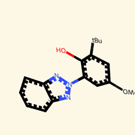 COc1cc(-n2nc3ccccc3n2)c(O)c(C(C)(C)C)c1